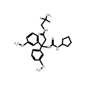 CC(F)(F)CNC(=O)CC(NC(=O)NC1CCCC1)(c1cccc(OC(F)(F)F)c1)c1cccc(OC(F)(F)F)c1